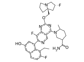 CCc1c(F)ccc2cc(O)cc(-c3ncc4c(N5CC(C(N)=O)CCC5C)nc(OC[C@@]56CCCN5C[C@H](F)C6)nc4c3F)c12